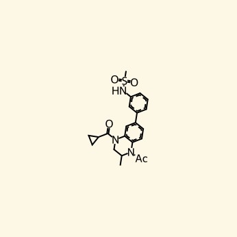 CC(=O)N1c2ccc(-c3cccc(NS(C)(=O)=O)c3)cc2N(C(=O)C2CC2)CC1C